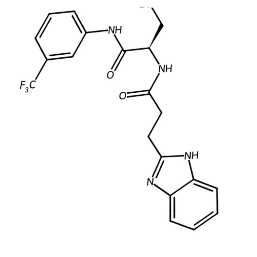 CC(C)C[C@@H](NC(=O)CCc1nc2ccccc2[nH]1)C(=O)Nc1cccc(C(F)(F)F)c1